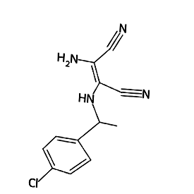 CC(N/C(C#N)=C(\N)C#N)c1ccc(Cl)cc1